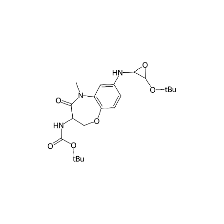 CN1C(=O)C(NC(=O)OC(C)(C)C)COc2ccc(NC3OC3OC(C)(C)C)cc21